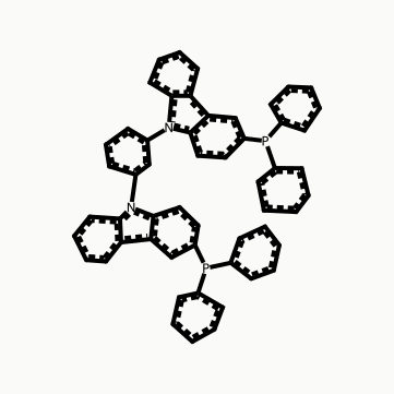 c1ccc(P(c2ccccc2)c2ccc3c(c2)c2ccccc2n3-c2cccc(-n3c4ccccc4c4cc(P(c5ccccc5)c5ccccc5)ccc43)c2)cc1